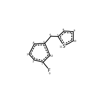 Fc1cc[c]c(Cc2cccs2)c1